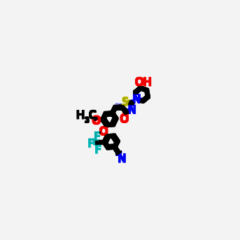 COc1cc(/C=C2/SC(N3CCCC(O)C3)=NC2=O)ccc1Oc1ccc(C#N)cc1C(F)(F)F